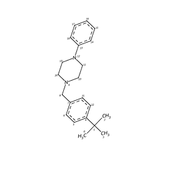 CC(C)(C)c1ccc(CN2CCN(c3ccccc3)CC2)cc1